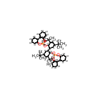 CCC(C)(C)c1cc(-c2cc(C(C)(C)CC)cc(C(C)(C)CC)c2Op2oc3ccccc3c3ccccc3o2)c(Op2oc3ccccc3c3ccccc3o2)c(C(C)(C)CC)c1